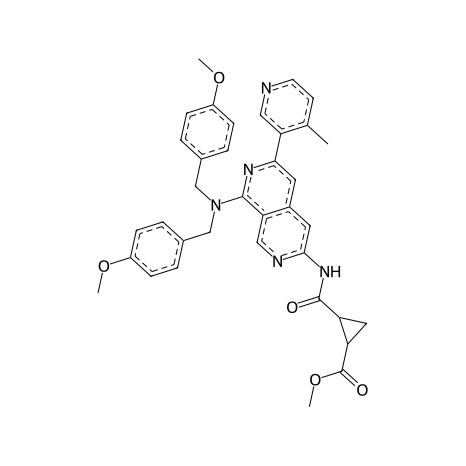 COC(=O)C1CC1C(=O)Nc1cc2cc(-c3cnccc3C)nc(N(Cc3ccc(OC)cc3)Cc3ccc(OC)cc3)c2cn1